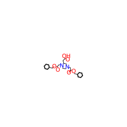 O=C(O)CC1CN(CC(=O)OCc2ccccc2)CCN1CC(=O)OCc1ccccc1